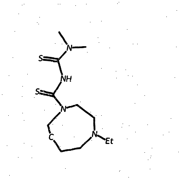 CCN1CCCCN(C(=S)NC(=S)N(C)C)CC1